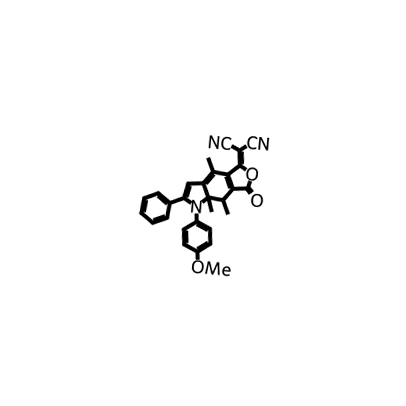 COc1ccc(N2C(c3ccccc3)=CC3=C(C)C4=C(C(=O)OC4=C(C#N)C#N)C(C)C32C)cc1